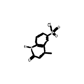 CCn1c(=O)cc(C)c2cc(S(=O)(=O)Cl)ccc21